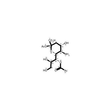 CC(=O)O[C@@]1(C(=O)O)C[C@H](O)[C@@H](N)[C@H]([C@H](OC(=O)C(C)=O)[C@H](O)CO)O1